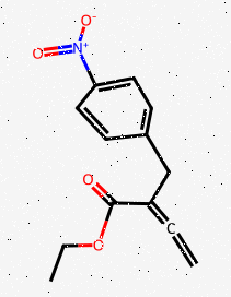 C=C=C(Cc1ccc([N+](=O)[O-])cc1)C(=O)OCC